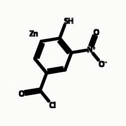 O=C(Cl)c1ccc(S)c([N+](=O)[O-])c1.[Zn]